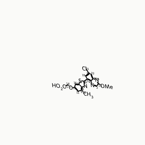 COc1cnc2c(-c3nc4c(C)cc(OCC(=O)O)cc4s3)cc(Cl)cc2n1